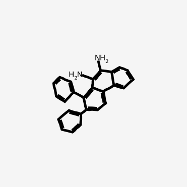 Nc1c(N)c2c(-c3ccccc3)c(-c3ccccc3)ccc2c2ccccc12